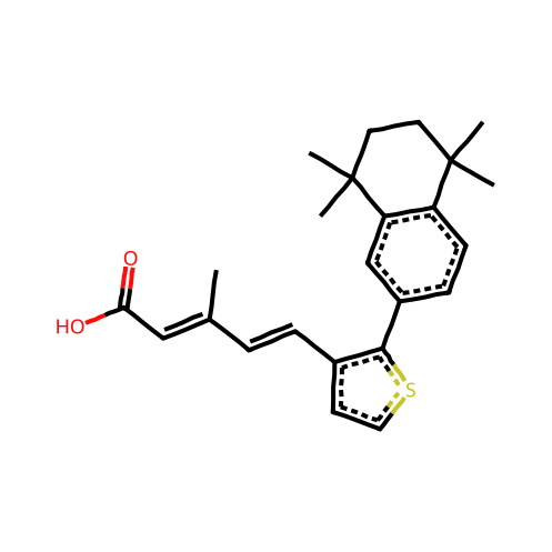 CC(/C=C/c1ccsc1-c1ccc2c(c1)C(C)(C)CCC2(C)C)=C\C(=O)O